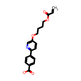 C=CC(=O)OCCCCOc1ccc(-c2ccc(C([O])=O)cc2)nc1